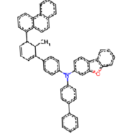 CC1C(c2ccc(N(c3ccc(-c4ccccc4)cc3)c3ccc4c(c3)oc3ccccc34)cc2)=CC=CC1c1cccc2c1ccc1ccccc12